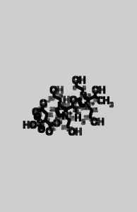 CC(O)c1n(CCO)cc[n+]1CCO.CC(O)c1n(CCO)cc[n+]1CCO.O=C([O-])CC(C(=O)[O-])S(=O)(=O)O